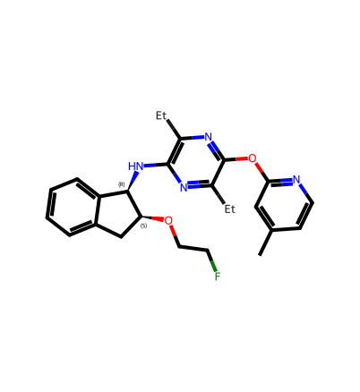 CCc1nc(Oc2cc(C)ccn2)c(CC)nc1N[C@@H]1c2ccccc2C[C@@H]1OCCF